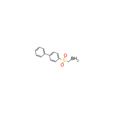 BCS(=O)(=O)c1ccc(-c2ccccc2)cc1